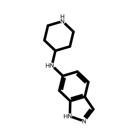 c1cc2cn[nH]c2cc1NC1CCNCC1